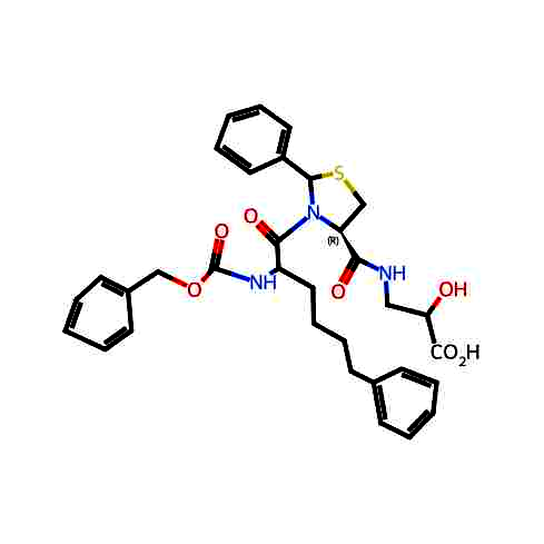 O=C(NC(CCCCc1ccccc1)C(=O)N1C(c2ccccc2)SC[C@H]1C(=O)NCC(O)C(=O)O)OCc1ccccc1